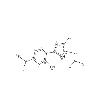 Cc1nc(-c2ccc(C(F)F)cc2C#N)[nH]c1CN(C)C